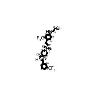 O=C1NC(c2cccc(C(F)(F)F)c2)=NC12CCN(S(=O)(=O)C=Cc1ccc(NCCO)cc1C(F)(F)F)CC2